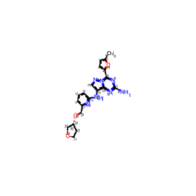 Cc1ccc(-c2nc(N)nc3c(Nc4cccc(CO[C@@H]5CCOC5)n4)cnn23)o1